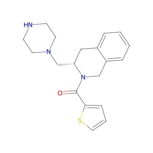 O=C(c1cccs1)N1Cc2ccccc2C[C@H]1CN1CCNCC1